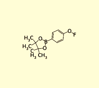 CC1(C)OB(c2ccc(OF)cc2)OC1(C)C